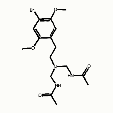 COc1cc(CCN(CNC(C)=O)CNC(C)=O)c(OC)cc1Br